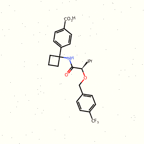 CC(C)[C@@H](OCc1ccc(C(F)(F)F)cc1)C(=O)NC1(c2ccc(C(=O)O)cc2)CCC1